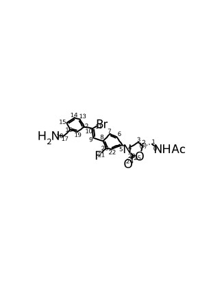 CC(=O)NC[C@H]1CN(c2ccc(C=C(Br)c3cccc(CN)c3)c(F)c2)C(=O)O1